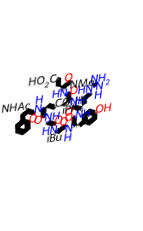 CCC(C)[C@H](NC(=O)CNC(=O)[C@H](CCC(=O)O)NC(=O)[C@H](Cc1ccccc1)NC(C)=O)C(=O)N[C@@H](Cc1ccc(O)cc1)C(=O)N[C@@H](CCCNC(=N)N)C(=O)N[C@@H](CC(C)C)C(=O)N[C@@H](CCC(=O)O)C(=O)NC